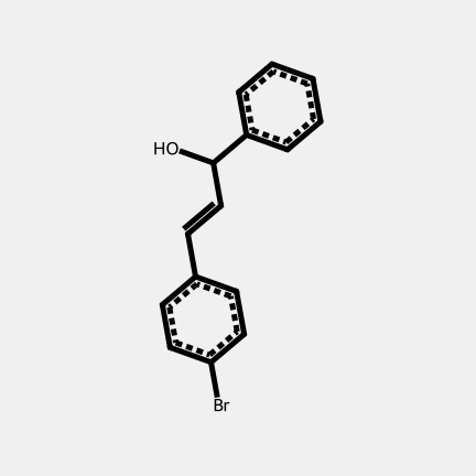 OC(/C=C/c1ccc(Br)cc1)c1ccccc1